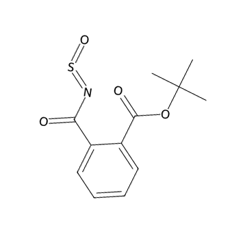 CC(C)(C)OC(=O)c1ccccc1C(=O)N=S=O